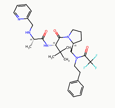 C[C@H](NCc1ccccn1)C(=O)N[C@H](C(=O)N1CCC[C@H]1CN(CCc1ccccc1)C(=O)C(F)(F)F)C(C)(C)C